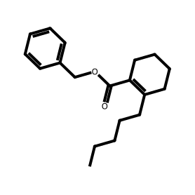 CCCCCC1=C(C(=O)OCc2ccccc2)CCCC1